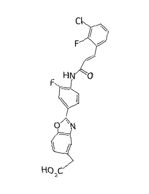 O=C(O)Cc1ccc2oc(-c3ccc(NC(=O)C=Cc4cccc(Cl)c4F)c(F)c3)nc2c1